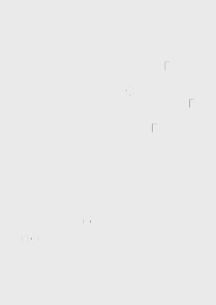 Cc1cc(OC(F)(F)F)ccc1CC(=O)O